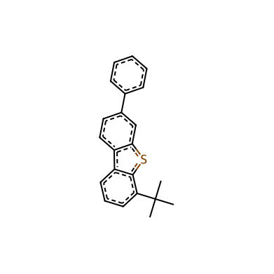 CC(C)(C)c1cccc2c1sc1cc(-c3ccccc3)ccc12